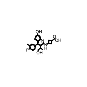 Cc1cc(-c2c(C(C)CO)c(NC3CC(C(=O)O)C3)nc3cc(O)ccc23)ccc1F